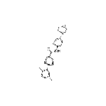 Cc1ccc(C)c(-c2ccc(C(=O)Nc3ccc(N4CCOCC4)cc3)cn2)c1